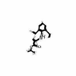 CCc1cccc(CC)c1NC(C)C(=O)OC(C)C